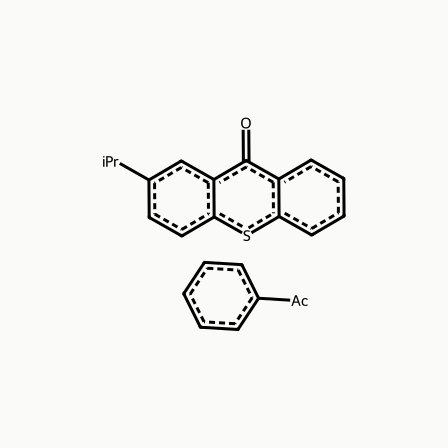 CC(=O)c1ccccc1.CC(C)c1ccc2sc3ccccc3c(=O)c2c1